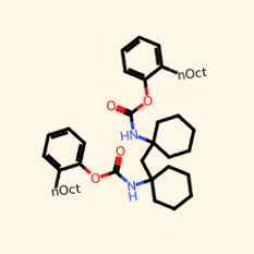 CCCCCCCCc1ccccc1OC(=O)NC1(CC2(NC(=O)Oc3ccccc3CCCCCCCC)CCCCC2)CCCCC1